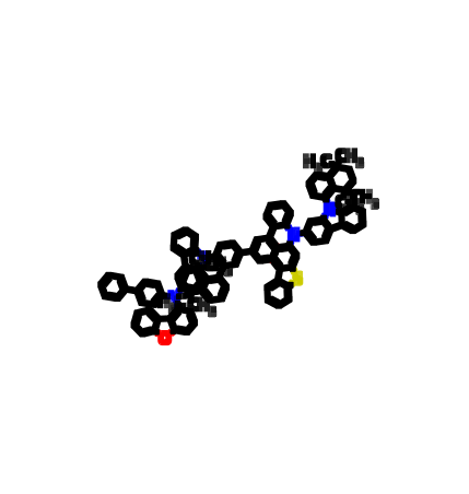 CC1(C)CCC(C)(C)c2c(-c3cc(-c4cccc(-c5ccccc5N(c5ccc6c(c5)sc5ccccc56)c5ccc6c7ccccc7n(-c7cccc8c7C(C)(C)CCC8(C)C)c6c5)c4)ccc3-n3c4ccccc4c4cc(N(c5ccc(-c6ccccc6)cc5)c5cccc6oc7ccccc7c56)ccc43)cccc21